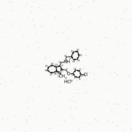 Cl.Cn1c(COc2ccc(Cl)cc2)c(CNCc2ccccc2)c2ccccc21